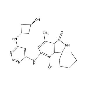 Cc1cc(Nc2cc(N[C@H]3C[C@H](O)C3)ncn2)[n+]([O-])c2c1C(=O)NC21CCCCC1